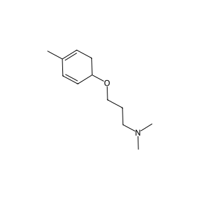 CC1=CCC(OCCCN(C)C)C=C1